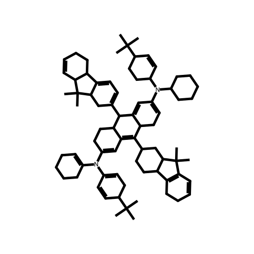 CC(C)(C)C1C=CC(N(C2=CCCCC2)C2=CC3=C(C4CCC5C6=C(C=CCC6)C(C)(C)C5C4)C4CC=C(N(C5C=CC(C(C)(C)C)CC5)C5CCCCC5)C=C4C(C4=CC=C5C6CCC=CC6C(C)(C)C5C4)C3CC2)=CC1